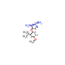 COC1=CC(C(C)C)=C(Oc2cnc(N)nc2N)C[CH]1